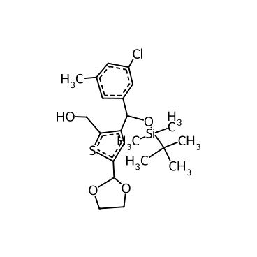 Cc1cc(Cl)cc(C(O[Si](C)(C)C(C)(C)C)c2cc(C3OCCO3)sc2CO)c1